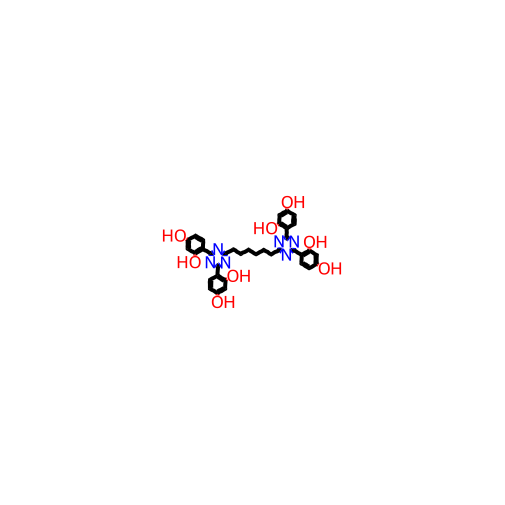 Oc1ccc(-c2nc(CCCCCCc3nc(-c4ccc(O)cc4O)nc(-c4ccc(O)cc4O)n3)nc(-c3ccc(O)cc3O)n2)c(O)c1